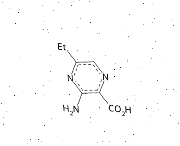 CCc1cnc(C(=O)O)c(N)n1